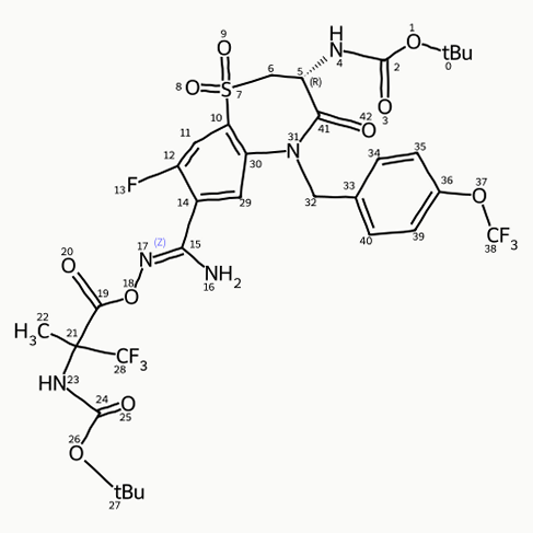 CC(C)(C)OC(=O)N[C@H]1CS(=O)(=O)c2cc(F)c(/C(N)=N/OC(=O)C(C)(NC(=O)OC(C)(C)C)C(F)(F)F)cc2N(Cc2ccc(OC(F)(F)F)cc2)C1=O